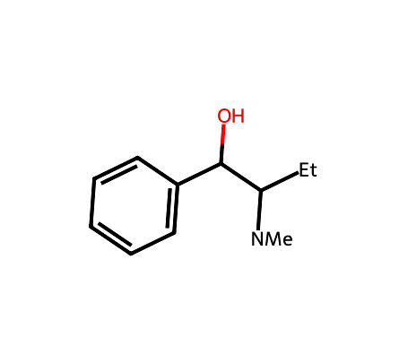 CCC(NC)C(O)c1ccccc1